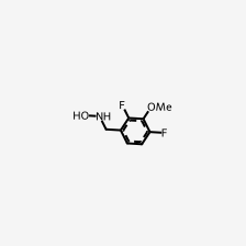 COc1c(F)ccc(CNO)c1F